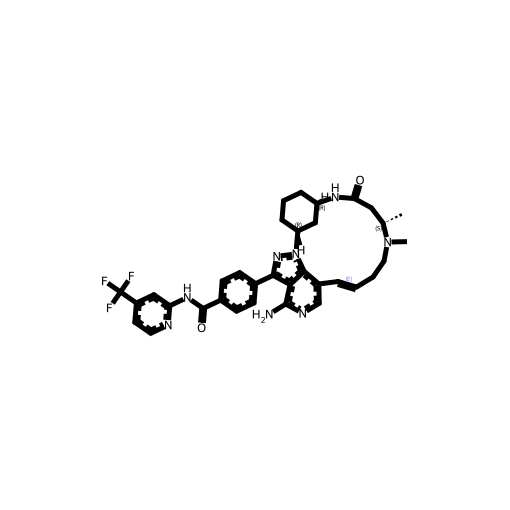 C[C@H]1CC(=O)N[C@@H]2CCC[C@H](C2)n2nc(-c3ccc(C(=O)Nc4cc(C(F)(F)F)ccn4)cc3)c3c(N)ncc(c32)/C=C/CCN1C